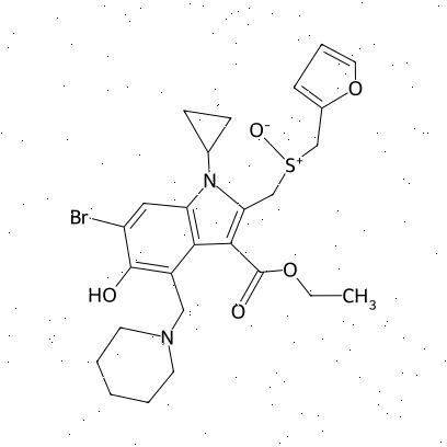 CCOC(=O)c1c(C[S+]([O-])Cc2ccco2)n(C2CC2)c2cc(Br)c(O)c(CN3CCCCC3)c12